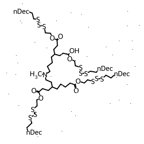 CCCCCCCCCCCCSSSCCOC(=O)CCCCC(CCC(=O)OCCSSSCCCCCCCCCCCC)CCN(C)CCCCC(CCC(=O)OCCSSSCCCCCCCCCCCC)CCC(O)OCCSSSCCCCCCCCCCCC